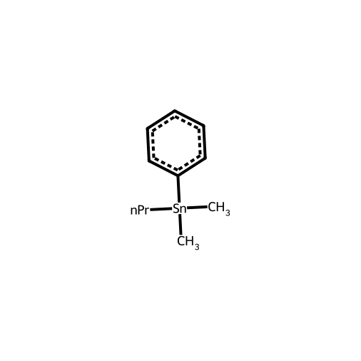 CC[CH2][Sn]([CH3])([CH3])[c]1ccccc1